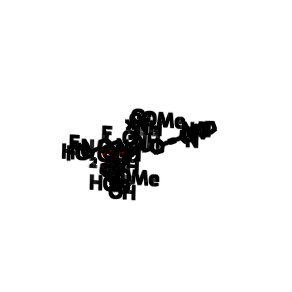 COC(=O)N[C@H](C(=O)N[C@@H](Cc1ccc(C#Cc2cnc(N3CC4CCC(C3)N4C3COC3)nc2)cc1)[C@H](CN(Cc1c(F)cc(-c2ccn(C(F)F)n2)cc1F)NC(=O)[C@@H](NC(=O)OC)C(C)(C)C(F)(F)F)OC(=O)CC(C)(C)c1c(CC(=O)O)cccc1OP(=O)(O)O)C(C)(C)C(F)(F)F